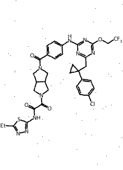 CCc1nnc(NC(=O)C(=O)N2CC3CN(C(=O)c4ccc(Nc5nc(CC6(c7ccc(Cl)cc7)CC6)nc(OCC(F)(F)F)n5)cc4)CC3C2)s1